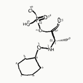 C[C@H](NOC1CCCCC1)C(=O)OP(=O)(O)Cl